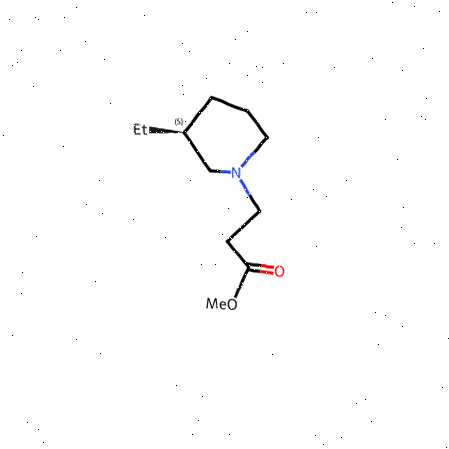 CC[C@H]1CCCN(CCC(=O)OC)C1